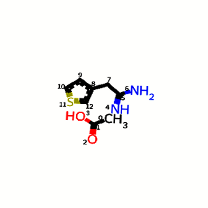 CC(=O)O.N=C(N)Cc1ccsc1